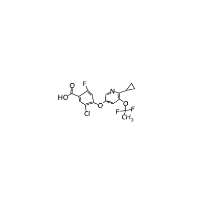 CC(F)(F)Oc1cc(Oc2cc(F)c(C(=O)O)cc2Cl)cnc1C1CC1